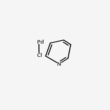 [Cl][Pd].c1ccncc1